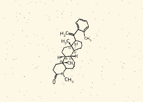 C=C(c1ccccc1C)C1CC[C@H]2[C@@H]3CCC4N(C)C(=O)CC[C@]4(C)[C@@H]3CC[C@]12C